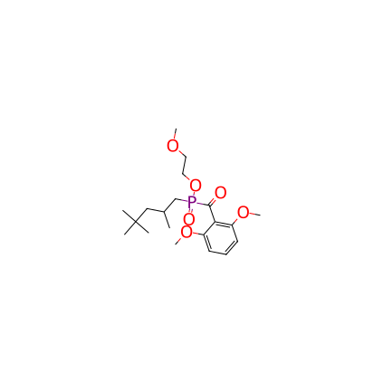 COCCOP(=O)(CC(C)CC(C)(C)C)C(=O)c1c(OC)cccc1OC